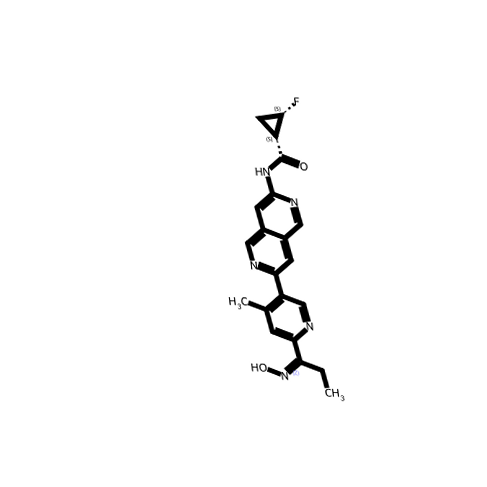 CC/C(=N/O)c1cc(C)c(-c2cc3cnc(NC(=O)[C@@H]4C[C@@H]4F)cc3cn2)cn1